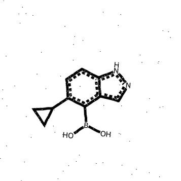 OB(O)c1c(C2CC2)ccc2[nH]ncc12